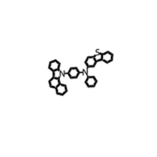 c1ccc(N(c2ccc(-n3c4ccccc4c4ccc5ccccc5c43)cc2)c2ccc3sc4ccccc4c3c2)cc1